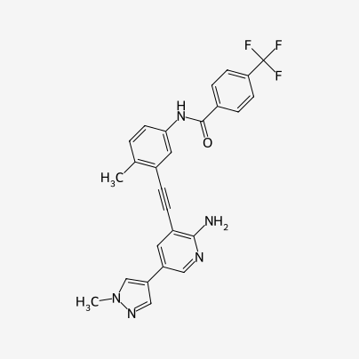 Cc1ccc(NC(=O)c2ccc(C(F)(F)F)cc2)cc1C#Cc1cc(-c2cnn(C)c2)cnc1N